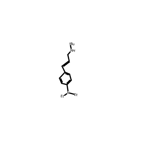 CCN(CC)c1ccc(/C=C/CNC(C)(C)C)cc1